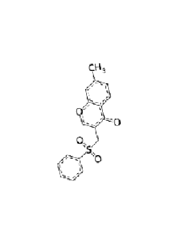 Cc1ccc2c(=O)c(CS(=O)(=O)c3ccccc3)coc2c1